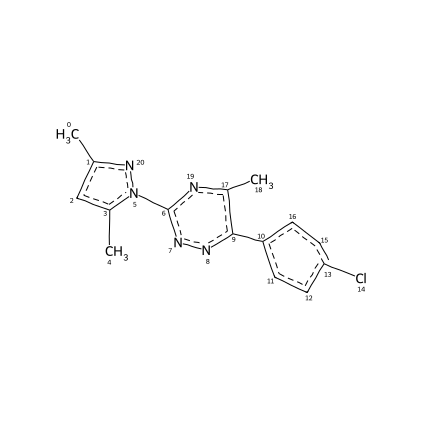 Cc1cc(C)n(-c2nnc(-c3ccc(Cl)cc3)c(C)n2)n1